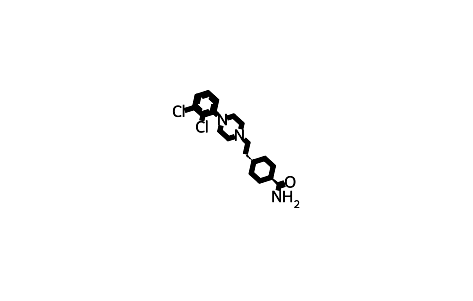 NC(=O)[C@H]1CC[C@H](CCN2CCN(c3cccc(Cl)c3Cl)CC2)CC1